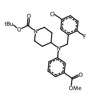 COC(=O)c1cccc(N(Cc2cc(Cl)ccc2F)C2CCN(C(=O)OC(C)(C)C)CC2)c1